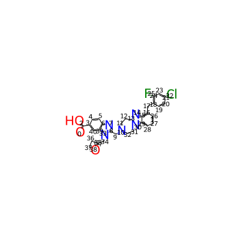 O=C(O)c1ccc2nc(CN3CCc4nc5c(Cc6ccc(Cl)cc6F)cccc5n4CC3)n(C[C@@H]3CCO3)c2c1